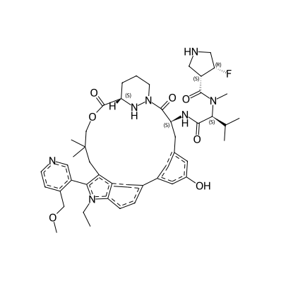 CCn1c(-c2cnccc2COC)c2c3cc(ccc31)-c1cc(O)cc(c1)C[C@H](NC(=O)[C@H](C(C)C)N(C)C(=O)[C@@H]1CNC[C@@H]1F)C(=O)N1CCC[C@H](N1)C(=O)OCC(C)(C)C2